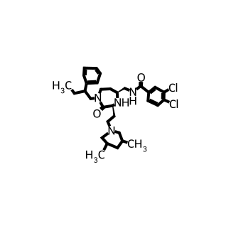 CCC(CN1CC[C@@H](CNC(=O)c2ccc(Cl)c(Cl)c2)N[C@@H](CCN2CC(C)CC(C)C2)C1=O)c1ccccc1